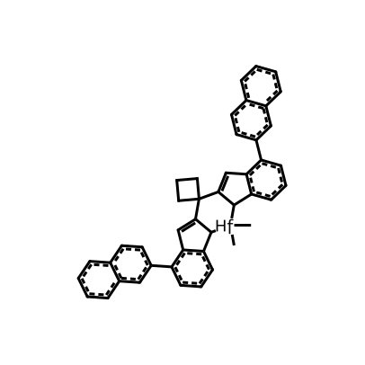 [CH3][Hf]1([CH3])[CH]2C(=Cc3c(-c4ccc5ccccc5c4)cccc32)C2(CCC2)C2=Cc3c(-c4ccc5ccccc5c4)cccc3[CH]21